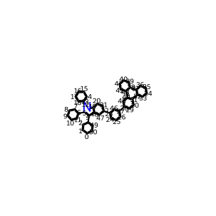 c1ccc(-c2c(-c3ccccc3)n(-c3ccccc3)c3ccc(-c4cccc(-c5ccc6c7ccccc7c7ccccc7c6c5)c4)cc23)cc1